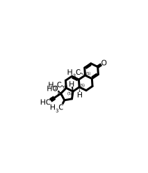 C#C[C@@]1(O)C(C)C[C@H]2[C@@H]3CCC4=CC(=O)C=C[C@]4(C)C3=CC[C@@]21C